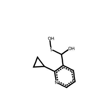 OSC(O)c1cccnc1C1CC1